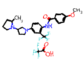 COc1ccc(C(=O)Nc2ccc(N3CCC(N4CCCC4C)C3)cc2C(F)(F)F)cc1.O=C(O)C(F)(F)F